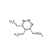 C=Cc1nnnc(C=C)c1C=C